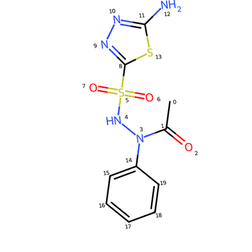 CC(=O)N(NS(=O)(=O)c1nnc(N)s1)c1ccccc1